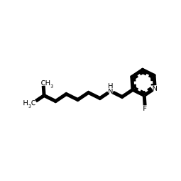 CC(C)CCCCCNCc1cccnc1F